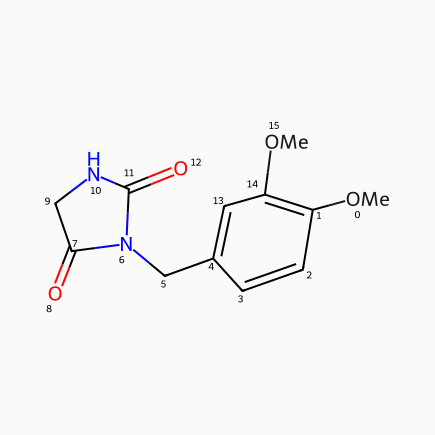 COc1ccc(CN2C(=O)CNC2=O)cc1OC